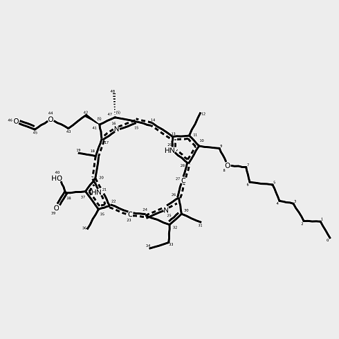 CCCCCCCCOCc1c(C)c2cc3nc(c(C)c4[nH]c(cc5nc(cc1[nH]2)C(C)=C5CC)c(C)c4C(=O)O)[C@@H](CCOC=O)[C@@H]3C